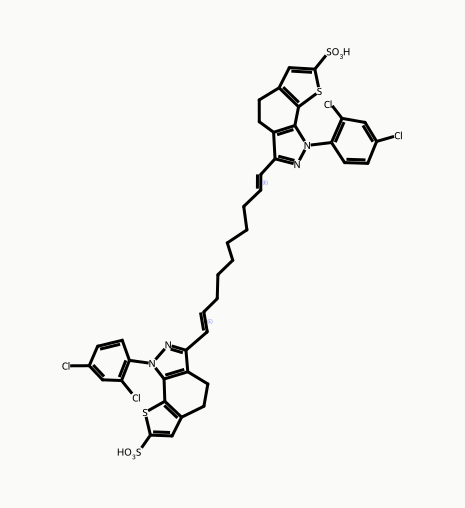 O=S(=O)(O)c1cc2c(s1)-c1c(c(/C=C/CCCCCC/C=C/c3nn(-c4ccc(Cl)cc4Cl)c4c3CCc3cc(S(=O)(=O)O)sc3-4)nn1-c1ccc(Cl)cc1Cl)CC2